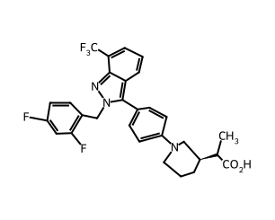 CC(C(=O)O)[C@H]1CCCN(c2ccc(-c3c4cccc(C(F)(F)F)c4nn3Cc3ccc(F)cc3F)cc2)C1